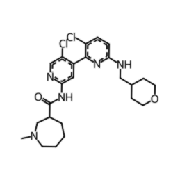 CN1CCCCC(C(=O)Nc2cc(-c3nc(NCC4CCOCC4)ccc3Cl)c(Cl)cn2)C1